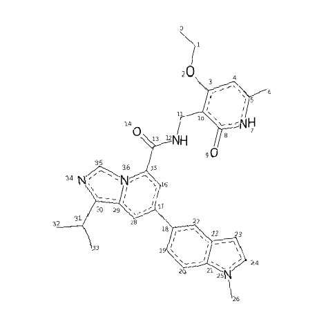 CCOc1cc(C)[nH]c(=O)c1CNC(=O)c1cc(-c2ccc3c(ccn3C)c2)cc2c(C(C)C)ncn12